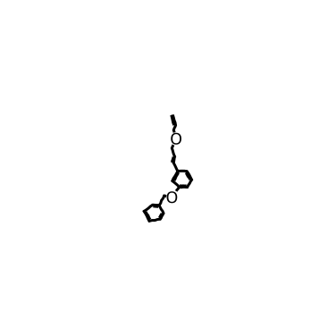 C=CCOC/C=C/c1cccc(OCc2ccccc2)c1